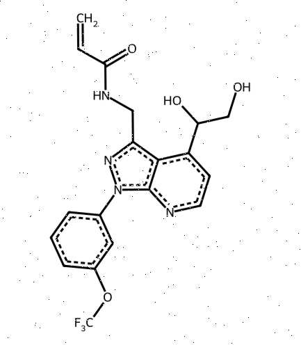 C=CC(=O)NCc1nn(-c2cccc(OC(F)(F)F)c2)c2nccc(C(O)CO)c12